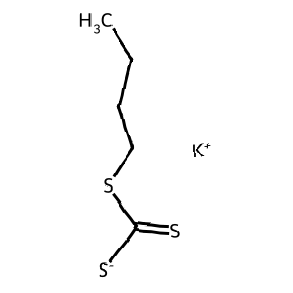 CCCCSC(=S)[S-].[K+]